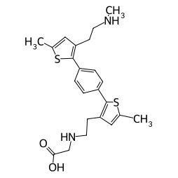 CNCCc1cc(C)sc1-c1ccc(-c2sc(C)cc2CCNCC(=O)O)cc1